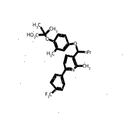 CCCC(Oc1ccc(OC(C)(C)C(=O)O)c(C)c1)c1ccc(-c2ccc(C(F)(F)F)cc2)nc1C